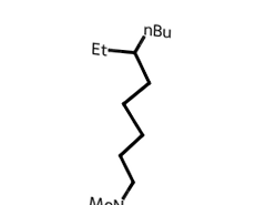 CCCCC(CC)CCCCCNC